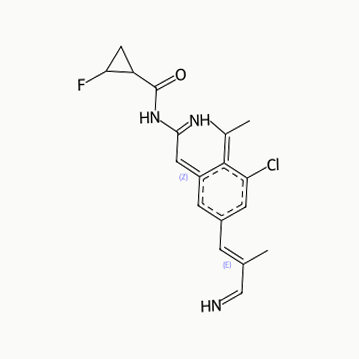 CC(C)=c1c(Cl)cc(/C=C(\C)C=N)c/c1=C/C(=N)NC(=O)C1CC1F